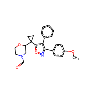 COc1ccc(-c2noc(C3(C4CN(C=O)CCO4)CC3)c2-c2ccccc2)cc1